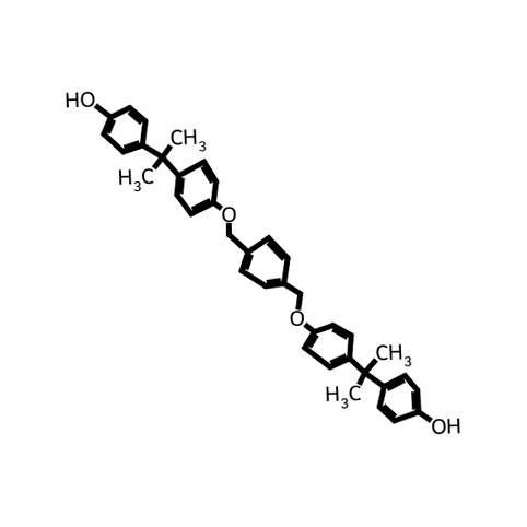 CC(C)(c1ccc(O)cc1)c1ccc(OCc2ccc(COc3ccc(C(C)(C)c4ccc(O)cc4)cc3)cc2)cc1